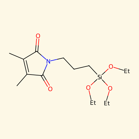 CCO[Si](CCCN1C(=O)C(C)=C(C)C1=O)(OCC)OCC